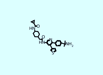 CC(C)(N)c1ccc(-c2ncc(NC(=O)CC3CCC(NC(=O)C4CC4)CC3)cc2-c2ccsc2)cc1